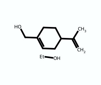 C=C(C)C1CC=C(CO)CC1.CCO